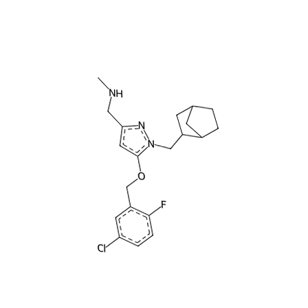 CNCc1cc(OCc2cc(Cl)ccc2F)n(CC2CC3CCC2C3)n1